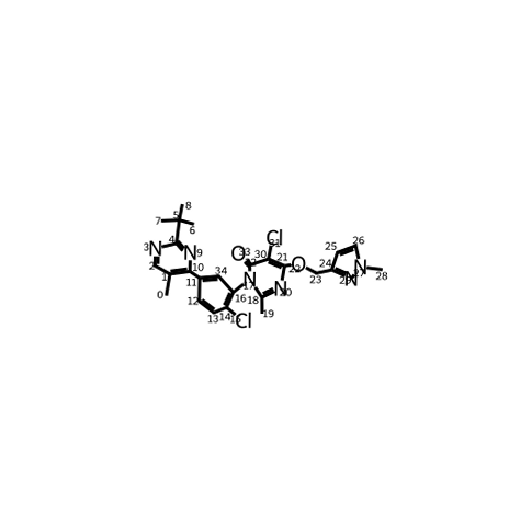 Cc1cnc(C(C)(C)C)nc1-c1ccc(Cl)c(-n2c(C)nc(OCc3ccn(C)n3)c(Cl)c2=O)c1